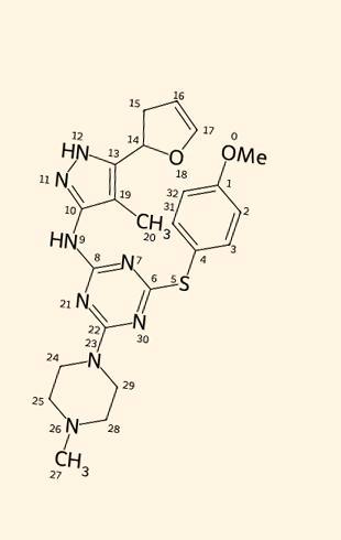 COc1ccc(Sc2nc(Nc3n[nH]c(C4CC=CO4)c3C)nc(N3CCN(C)CC3)n2)cc1